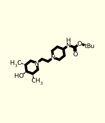 C[C@@H]1CN(CCN2CCC(NC(=O)OC(C)(C)C)CC2)C[C@H](C)[C@@H]1O